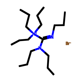 CCCN=C(N(CCC)CCC)[N+](CCC)(CCC)CCC.[Br-]